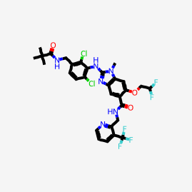 Cn1c(Nc2c(Cl)ccc(CNC(=O)C(C)(C)C)c2Cl)nc2cc(C(=O)NCc3ncccc3C(F)(F)F)c(OCC(F)F)cc21